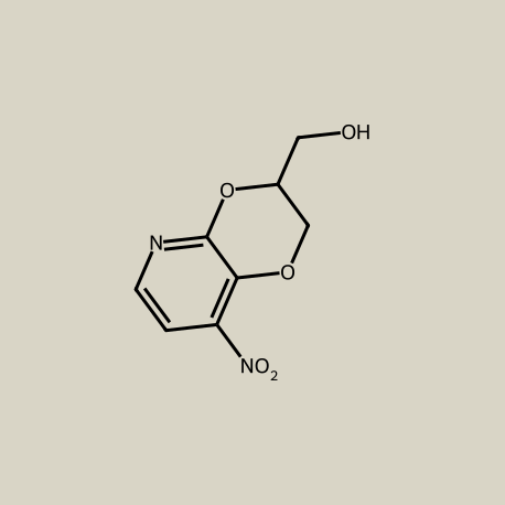 O=[N+]([O-])c1ccnc2c1OCC(CO)O2